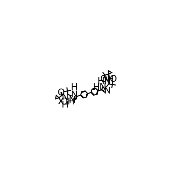 CC(O)C1(C(=O)N[C@H](c2ncc(-c3ccc(-c4ccc(-c5cnc([C@@H](NC(=O)C6(C(C)O)CC6)C(C)(C)C)[nH]5)cc4)cc3)[nH]2)C(C)(C)C)CC1